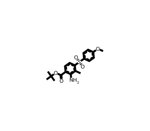 COc1ccc(S(=O)(=O)c2ccc(C(=O)OC(C)(C)C)c(N)c2C)cc1